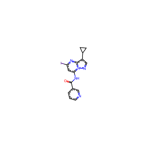 O=C(Nc1cc(I)nc2c(C3CC3)cnn12)c1cccnc1